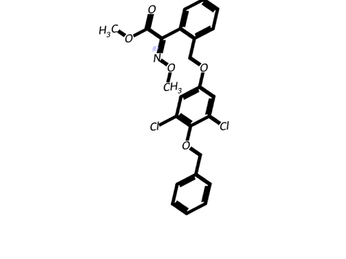 CO/N=C(/C(=O)OC)c1ccccc1COc1cc(Cl)c(OCc2ccccc2)c(Cl)c1